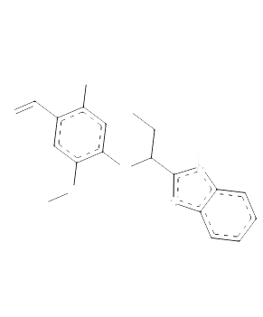 CCC(Oc1cc(F)c(C=O)cc1OC)c1nc2ccccc2[nH]1